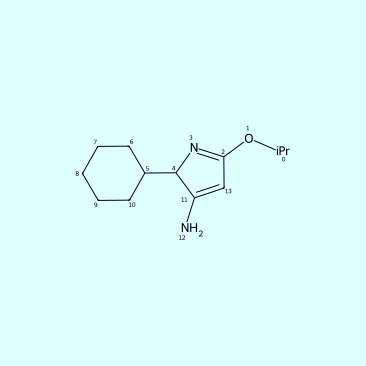 CC(C)OC1=NC(C2CCCCC2)C(N)=C1